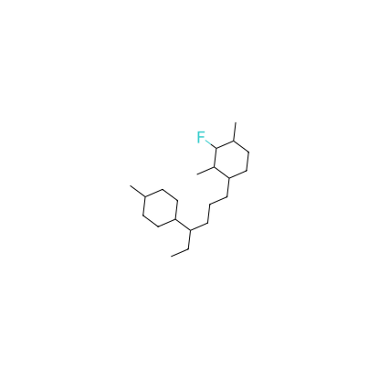 CCC(CCCC1CCC(C)C(F)C1C)C1CCC(C)CC1